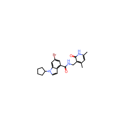 Cc1cc(C)c(CNC(=O)c2cc(Br)cc3c2ccn3C2CCCC2)c(=O)[nH]1